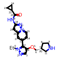 CCn1ncc(OC[C@@H]2CCNC2)c1-c1ccn2nc(NC(=O)C3CC3)cc2c1